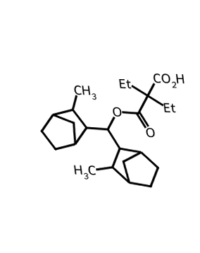 CCC(CC)(C(=O)O)C(=O)OC(C1C2CCC(C2)C1C)C1C2CCC(C2)C1C